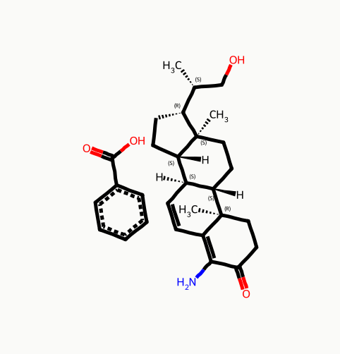 C[C@H](CO)[C@H]1CC[C@H]2[C@@H]3C=CC4=C(N)C(=O)CC[C@]4(C)[C@H]3CC[C@]12C.O=C(O)c1ccccc1